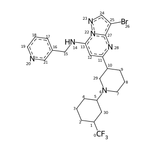 FC(F)(F)C1CCCC(N2CCCC(c3cc(NCc4cccnc4)n4ncc(Br)c4n3)C2)C1